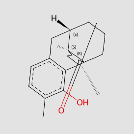 Cc1ccc2c(c1O)C13CCC[C@@H](C2)[C@]1(C)CCC(=O)[C@@H]3C